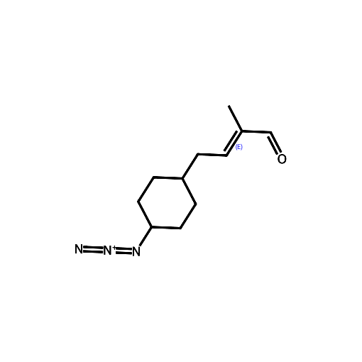 C/C(C=O)=C\CC1CCC(N=[N+]=[N-])CC1